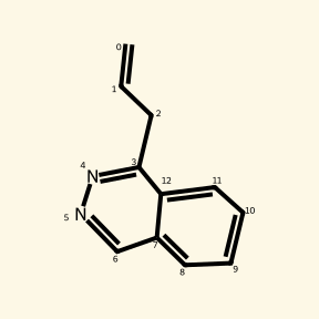 C=CCc1nncc2ccccc12